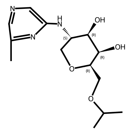 Cc1cncc(N[C@H]2CO[C@H](COC(C)C)[C@H](O)[C@@H]2O)n1